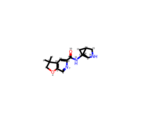 CC1(C)COc2cnc(C(=O)NC3CC4CNC3C4)cc21